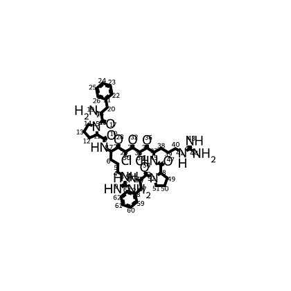 N=C(N)NCCCC(NC(=O)C1CCCN1C(=O)[C@H](N)Cc1ccccc1)C(=O)C(Cl)C(=O)C(Cl)C(=O)C(CCCNC(=N)N)NC(=O)C1CCCN1C(=O)[C@H](N)Cc1ccccc1